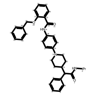 CC(C)NC(=O)C(c1ccccc1)C1CCN(c2ccc(NC(=O)c3ccccc3OCc3ccccc3)cc2)CC1